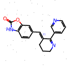 O=c1[nH]c2ccc(/C=C3\CCCN=C3c3cccnc3)cc2o1